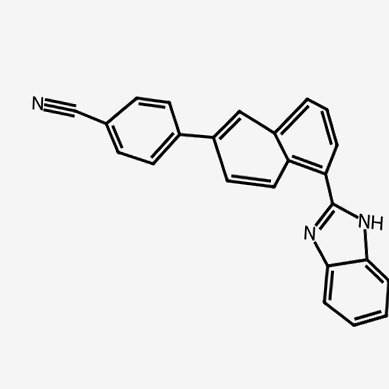 N#Cc1ccc(-c2ccc3c(-c4nc5ccccc5[nH]4)cccc3c2)cc1